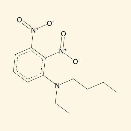 CCCCN(CC)c1cccc([N+](=O)[O-])c1[N+](=O)[O-]